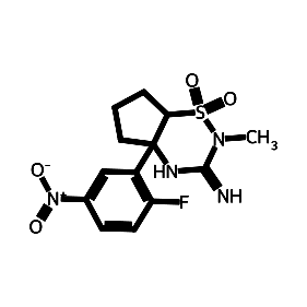 CN1C(=N)NC2(c3cc([N+](=O)[O-])ccc3F)CCCC2S1(=O)=O